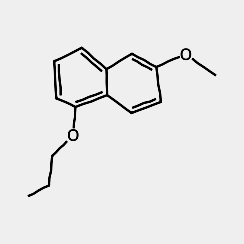 CCCOc1cccc2cc(OC)ccc12